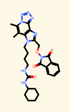 Cc1c(C)n2nnnc2c2nc(CON3C(=O)c4ccccc4C3=O)n(CCCCNC(=O)NC3CCCCC3)c12